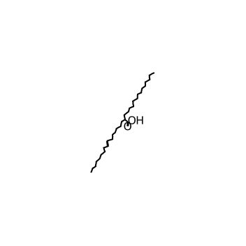 CCCCCCCCC=CCCCCCCC(CCCCCCCCCCCCCC)C(=O)O